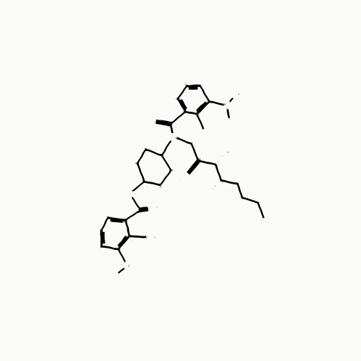 CCCC[C@H](N)[C@@H](O)C(=O)CN(C(=O)c1cccc(B(O)O)c1F)C1CCC(NC(=O)c2cccc(BO)c2F)CC1